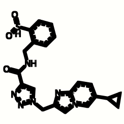 O=C(NCc1ccccc1[SH](=O)=O)c1cn(Cc2cn3cc(C4CC4)ccc3n2)nn1